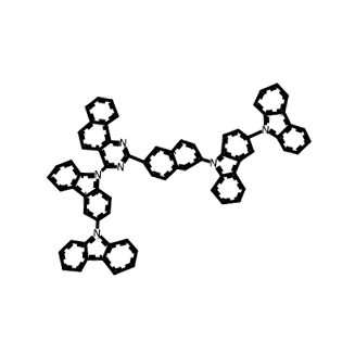 c1ccc2c(c1)ccc1c(-n3c4ccccc4c4cc(-n5c6ccccc6c6ccccc65)ccc43)nc(-c3ccc4cc(-n5c6ccccc6c6cc(-n7c8ccccc8c8ccccc87)ccc65)ccc4c3)nc12